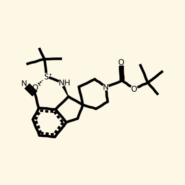 CC(C)(C)OC(=O)N1CCC2(CC1)Cc1cccc(C#N)c1[C@H]2N[S@+]([O-])C(C)(C)C